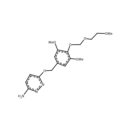 COCCOCOc1c(OC)cc(COc2ccc(N)nn2)cc1OC